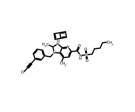 CCCCCS(=O)(=O)NC(=O)c1cc(C)c2c(n1)NC(C)N2Cc1cccc(C#CCl)c1.c1cc2ccc1-2